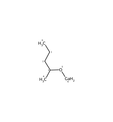 CCCC(C)[O][GaH2]